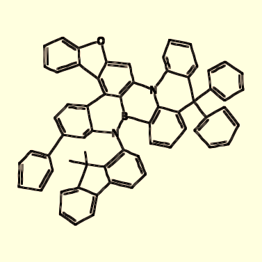 CC1(C)c2ccccc2-c2cccc(N3B4c5cccc6c5N(c5ccccc5C6(c5ccccc5)c5ccccc5)c5cc6oc7ccccc7c6c(c54)-c4ccc(-c5ccccc5)cc43)c21